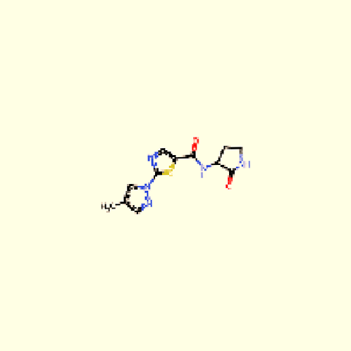 Cc1cnn(-c2ncc(C(=O)NC3CCNC3=O)s2)c1